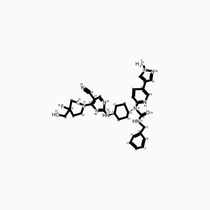 Cn1cc(-c2ccc(N(C(=O)NCc3ccccc3)[C@H]3CC[C@H](Nc4ncc(C#N)c(N5CCC(F)(CO)CC5)n4)CC3)nc2)cn1